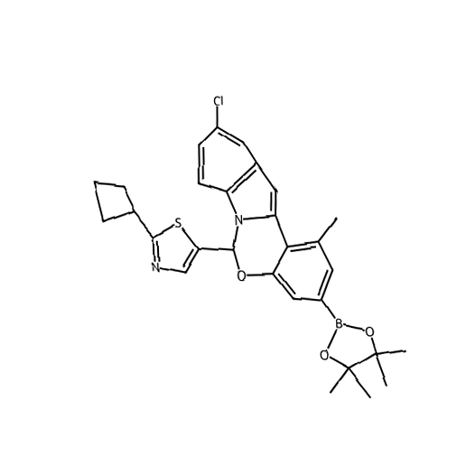 Cc1cc(B2OC(C)(C)C(C)(C)O2)cc2c1-c1cc3cc(Cl)ccc3n1C(c1cnc(C3CCC3)s1)O2